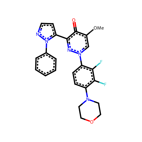 COc1cn(-c2ccc(N3CCOCC3)c(F)c2F)nc(-c2ccnn2-c2ccccc2)c1=O